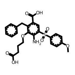 COc1ccc(S(=O)(=O)c2cc(C(=O)O)c(Cc3ccccc3)c(OCCCC(=O)O)c2N)cc1